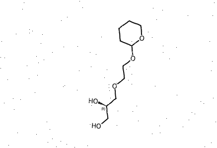 OC[C@@H](O)COCCOC1CCCCO1